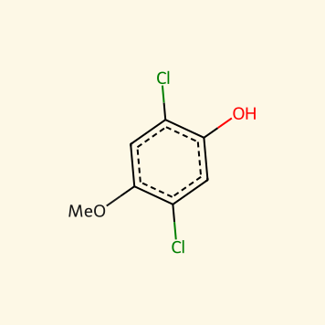 COc1cc(Cl)c(O)cc1Cl